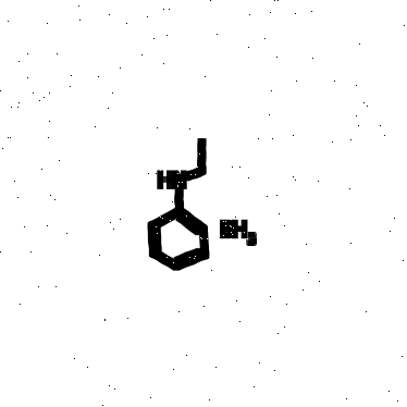 B.CCNc1ccccc1